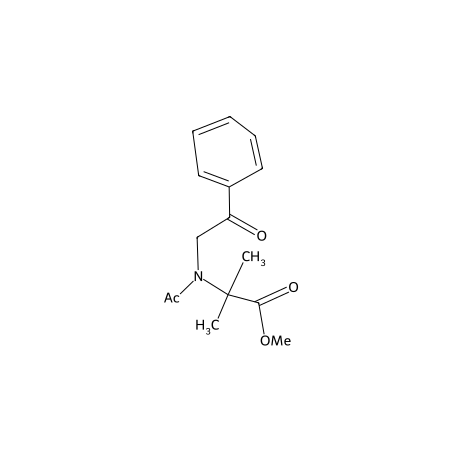 COC(=O)C(C)(C)N(CC(=O)c1ccccc1)C(C)=O